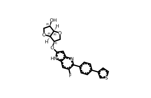 O[C@@H]1CO[C@H]2[C@@H]1OC[C@H]2Oc1cc2nc(-c3ccc(-c4ccsc4)cc3)c(F)cc2[nH]1